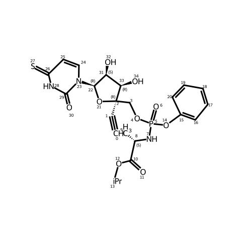 C#C[C@]1(COP(=O)(N[C@@H](C)C(=O)OC(C)C)Oc2ccccc2)O[C@@H](n2ccc(=S)[nH]c2=O)[C@@H](O)[C@H]1O